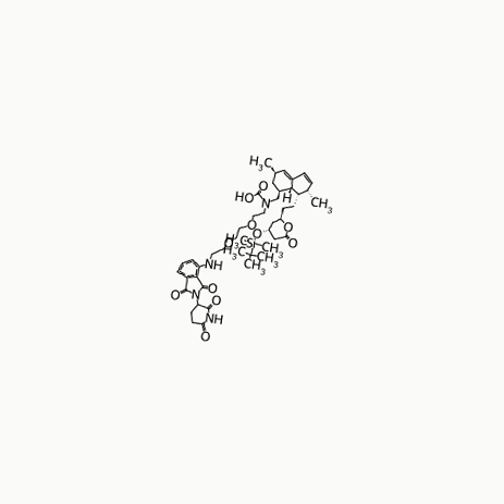 C[C@H]1C=C2C=C[C@H](C)[C@H](CC[C@@H]3C[C@@H](O[Si](C)(C)C(C)(C)C)CC(=O)O3)[C@@H]2[C@@H](CN(CCOCCOCCNc2cccc3c2C(=O)N(C2CCC(=O)NC2=O)C3=O)C(=O)O)C1